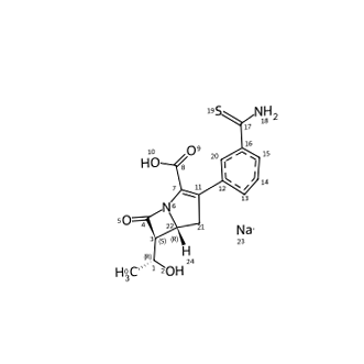 C[C@@H](O)[C@H]1C(=O)N2C(C(=O)O)=C(c3cccc(C(N)=S)c3)C[C@H]12.[Na]